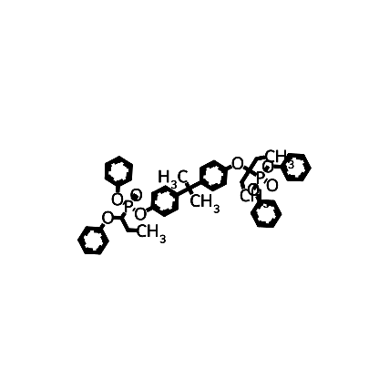 CCC(Oc1ccccc1)P(=O)(Oc1ccccc1)Oc1ccc(C(C)(C)c2ccc(OC(CC)(CC)P(=O)(Oc3ccccc3)Oc3ccccc3)cc2)cc1